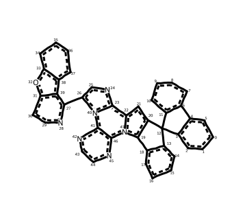 c1ccc2c(c1)-c1ccccc1C21c2ccccc2-c2c1cc1c3ncc(-c4nccc5oc6ccccc6c45)n3c3nccnc3n21